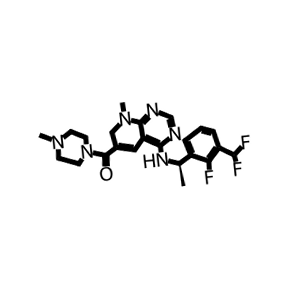 C[C@@H](Nc1ncnc2c1C=C(C(=O)N1CCN(C)CC1)CN2C)c1cccc(C(F)F)c1F